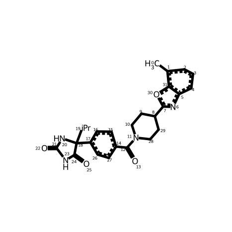 Cc1cccc2nc(C3CCN(C(=O)c4ccc(C5(C(C)C)NC(=O)NC5=O)cc4)CC3)oc12